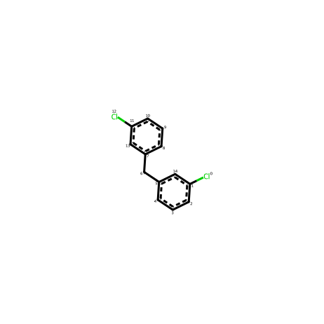 Clc1cccc([CH]c2cccc(Cl)c2)c1